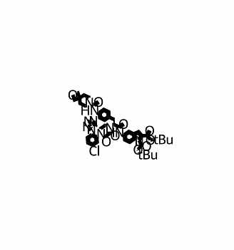 CC(C)(C)OC(=O)c1cc2cc(NC(=O)[C@H](Cc3ccc(NC(=O)N4CCC5(CC4)COC5)cc3)N3CCN(c4cc(Cl)ccc4-n4cnnn4)C(=O)C3=O)ccc2n1C(=O)OC(C)(C)C